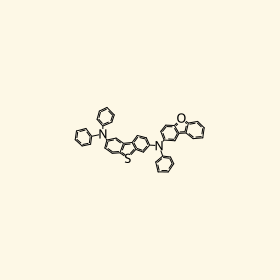 c1ccc(N(c2ccc3c(c2)sc2ccc(N(c4ccccc4)c4ccccc4)cc23)c2ccc3oc4ccccc4c3c2)cc1